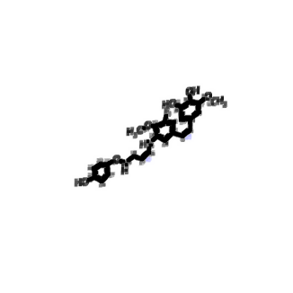 COc1cc(/C=C\c2cc(F)c(OC)c(N/C=C\CNOc3ccc(O)cc3)c2)cc(O)c1O